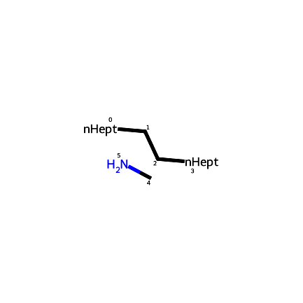 CCCCCCCCCCCCCCCC.CN